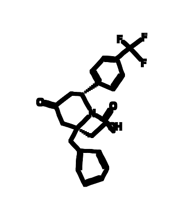 CCC[C@]1(Cc2ccccc2)CC(=O)C[C@H](c2ccc(C(F)(F)F)cc2)N1C(=O)O